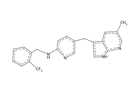 Cc1cnc2[nH]cc(Cc3ccc(NCc4ccccc4C(F)(F)F)nc3)c2c1